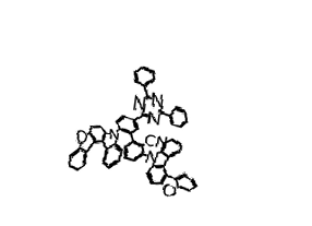 N#Cc1c(-c2cc(-c3nc(-c4ccccc4)nc(-c4ccccc4)n3)ccc2-n2c3ccccc3c3c4c(ccc32)oc2ccccc24)cccc1-n1c2ccccc2c2c3c(ccc21)oc1ccccc13